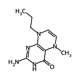 CCCN1C=CN(C)c2c1nc(N)[nH]c2=O